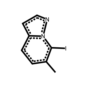 Cc1ccc2ccnn2c1I